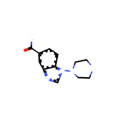 NC(=O)c1ccc2c(c1)ncn2N1CCNCC1